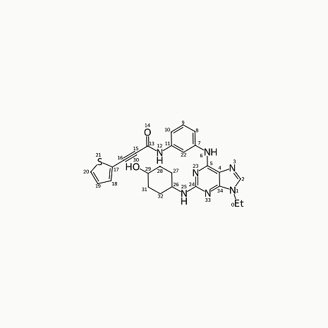 CCn1cnc2c(Nc3cccc(NC(=O)C#Cc4cccs4)c3)nc(NC3CCC(O)CC3)nc21